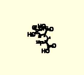 O=C(O)[C@H](C[C@H]([18F])C(=O)O)CP(=O)(O)O